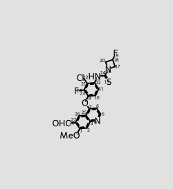 COc1cc2nccc(Oc3ccc(NC(=S)N4CC(F)C4)c(Cl)c3F)c2cc1C=O